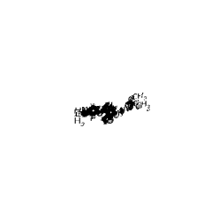 CO[C@H]1CN(CCOc2cc3nccc(Oc4ccc5[nH]c(C)cc5c4F)c3c3c2OCC3)C[C@H]1OC